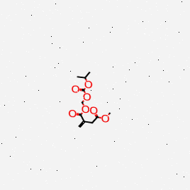 C=C(CC(=O)OC)C(=O)OCOC(=O)OC(C)C